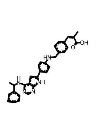 CC(=Cc1ccc(CNc2ccc(-c3cc4c(NC(C)c5ccccc5)ncnc4[nH]3)cc2)cc1)C(=O)O